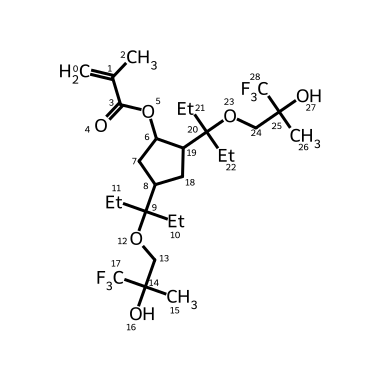 C=C(C)C(=O)OC1CC(C(CC)(CC)OCC(C)(O)C(F)(F)F)CC1C(CC)(CC)OCC(C)(O)C(F)(F)F